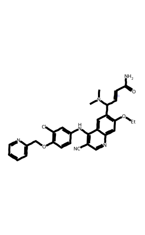 CCOc1cc2ncc(C#N)c(Nc3ccc(OCc4ccccn4)c(Cl)c3)c2cc1C(/C=C/C(N)=O)N(C)C